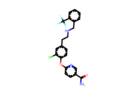 NC(=O)c1ccc(Oc2ccc(CCNCc3ccccc3C(F)(F)F)cc2Cl)nc1